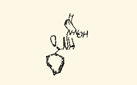 O=C(NN1C=CNN1O)c1ccccc1